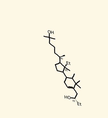 CC[C@H](O)CC1=CCC(C2CCC([C@H](C)CCCC(C)(C)O)[C@@]2(C)CC)C(C)C1(C)C